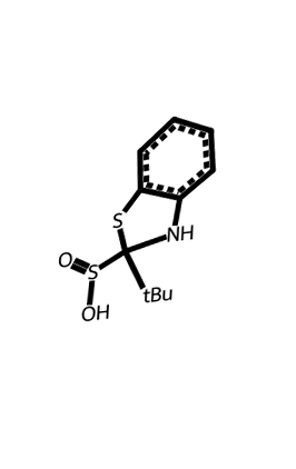 CC(C)(C)C1(S(=O)O)Nc2ccccc2S1